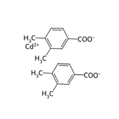 Cc1ccc(C(=O)[O-])cc1C.Cc1ccc(C(=O)[O-])cc1C.[Cd+2]